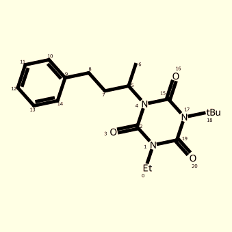 CCn1c(=O)n(C(C)CCc2ccccc2)c(=O)n(C(C)(C)C)c1=O